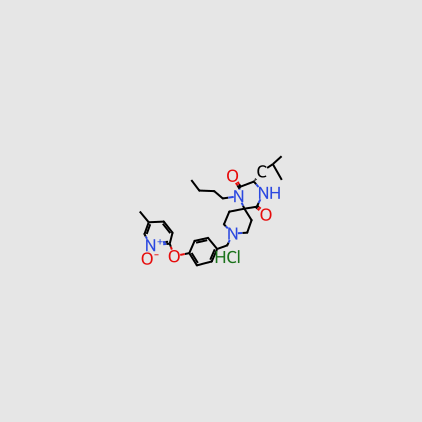 CCCCN1C(=O)[C@H](CC(C)C)NC(=O)C12CCN(Cc1ccc(Oc3ccc(C)c[n+]3[O-])cc1)CC2.Cl